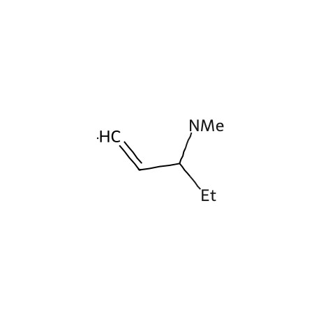 [CH]=CC(CC)NC